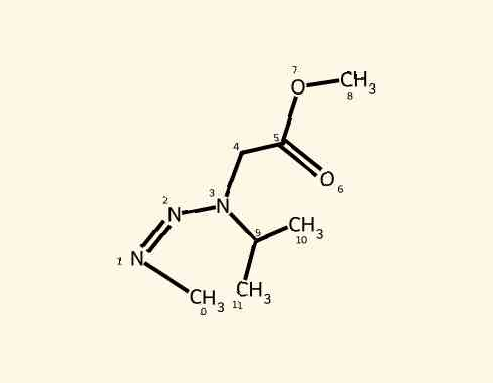 C/N=N\N(CC(=O)OC)C(C)C